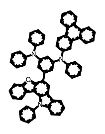 c1ccc(N(c2ccccc2)c2cc(-c3cc4c5ccccc5n(-c5ccccc5)c4c4c3oc3ccccc34)cc(N(c3ccccc3)c3ccc4c5ccccc5c5ccccc5c4c3)c2)cc1